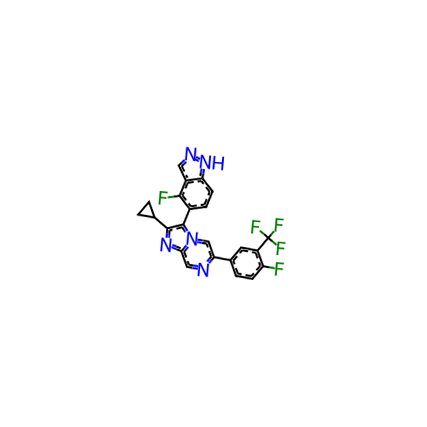 Fc1ccc(-c2cn3c(-c4ccc5[nH]ncc5c4F)c(C4CC4)nc3cn2)cc1C(F)(F)F